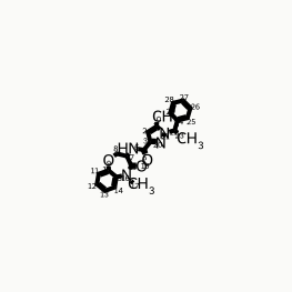 Cc1cc(C(=O)NC2COc3ccccc3N(C)C2=O)nn1C(C)c1ccccc1